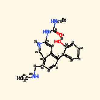 CCNC(=O)Nc1cc2c(-c3ccccc3O)ccc(CNC(=O)O)c2cn1